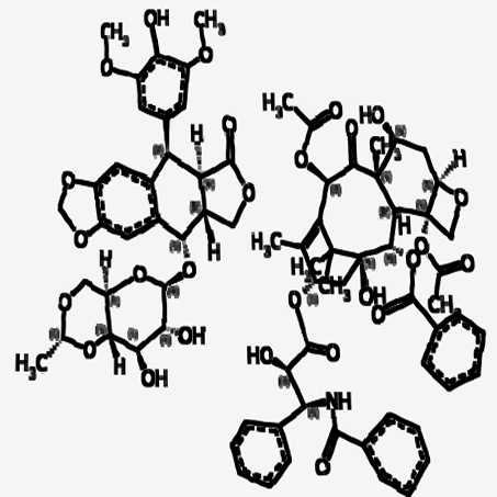 CC(=O)O[C@H]1C(=O)[C@@]2(C)[C@H]([C@H](OC(=O)c3ccccc3)[C@]3(O)C[C@H](OC(=O)[C@H](O)[C@@H](NC(=O)c4ccccc4)c4ccccc4)C(C)=C1C3(C)C)[C@]1(OC(C)=O)CO[C@@H]1C[C@@H]2O.COc1cc([C@@H]2c3cc4c(cc3[C@@H](O[C@@H]3O[C@@H]5CO[C@@H](C)O[C@H]5[C@H](O)[C@H]3O)[C@H]3COC(=O)[C@H]23)OCO4)cc(OC)c1O